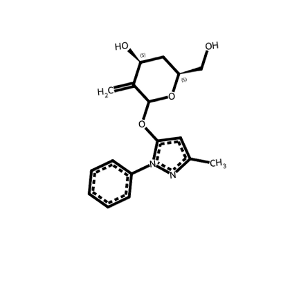 C=C1C(Oc2cc(C)nn2-c2ccccc2)O[C@H](CO)C[C@@H]1O